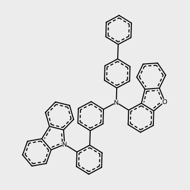 c1ccc(-c2ccc(N(c3cccc(-c4ccccc4-n4c5ccccc5c5ccccc54)c3)c3cccc4oc5ccccc5c34)cc2)cc1